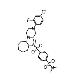 CN(C)S(=O)(=O)c1ccc(S(=O)(=O)N[C@@H]2CCCCC[C@@H]2N2CCN(c3ccc(Cl)cc3F)CC2)cc1